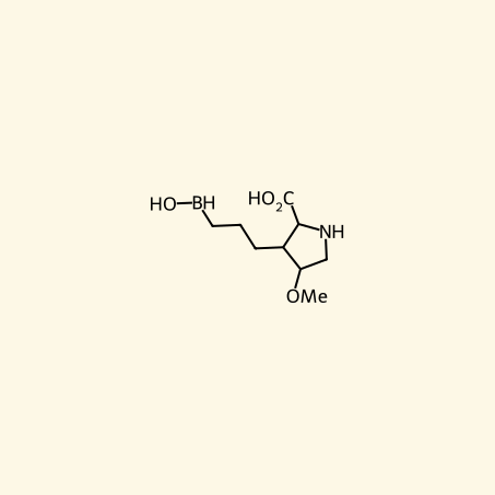 COC1CNC(C(=O)O)C1CCCBO